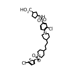 O=C(O)C1CCC(NS(=O)(=O)c2ccc(N3CCC(CCCC4CCN(S(=O)(=O)c5ccc(Cl)s5)CC4)CC3)c(Cl)c2)C1